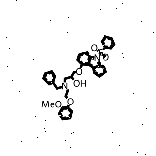 COc1ccccc1OCCN(Cc1ccccc1)CC(O)COc1cccc2c1c1ccccc1n2S(=O)(=O)c1ccccc1